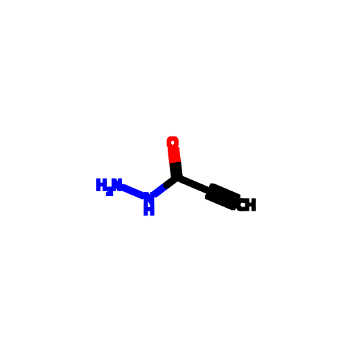 C#CC(=O)NN